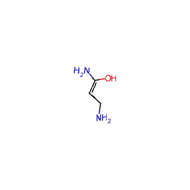 NCC=C(N)O